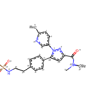 COc1ccc(-n2nc(C(=O)N(C)OC)cc2-c2ccc(CCNS(C)(=O)=O)cc2)cn1